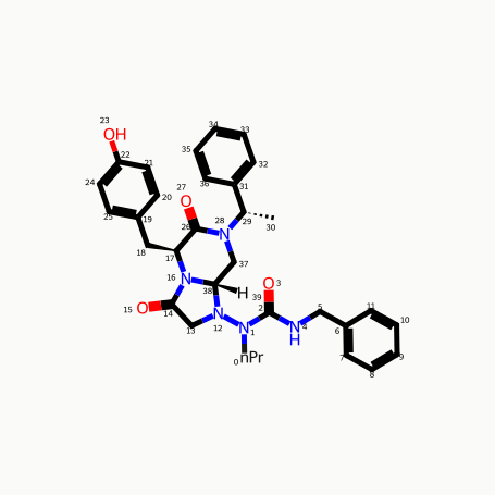 CCCN(C(=O)NCc1ccccc1)N1CC(=O)N2[C@@H](Cc3ccc(O)cc3)C(=O)N([C@@H](C)c3ccccc3)C[C@@H]21